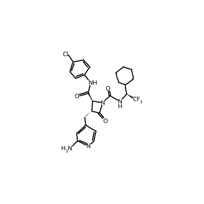 Nc1cc(C[C@H]2C(=O)N(C(=O)N[C@@H](C3CCCCC3)C(F)(F)F)[C@@H]2C(=O)Nc2ccc(Cl)cc2)ccn1